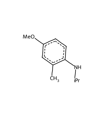 COc1ccc(NC(C)C)c(C)c1